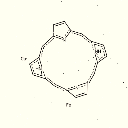 C1=Cc2cc3ccc(cc4nc(cc5ccc(cc1n2)[nH]5)C=C4)[nH]3.[Cu].[Fe]